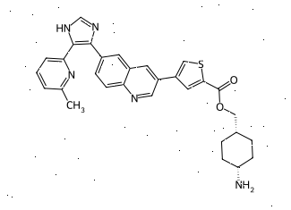 Cc1cccc(-c2[nH]cnc2-c2ccc3ncc(-c4csc(C(=O)OC[C@H]5CC[C@@H](N)CC5)c4)cc3c2)n1